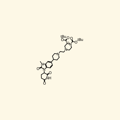 Cn1c(=O)n(C2CCC(=O)NC2=O)c2ccc(C3CCN(CCN4CCN(C(=O)OC(C)(C)C)[C@H](C(=O)OC(C)(C)C)C4)CC3)cc21